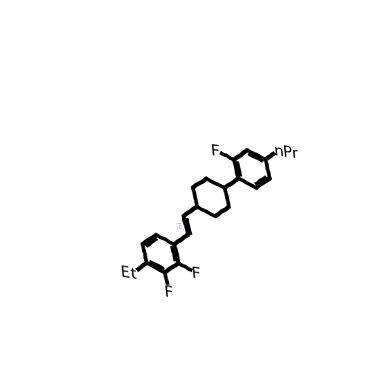 CCCc1ccc(C2CCC(/C=C/c3ccc(CC)c(F)c3F)CC2)c(F)c1